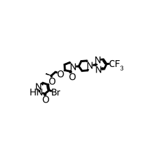 C[C@@H](CO[C@H]1CCN(C2CCN(c3ncc(C(F)(F)F)cn3)CC2)C1=O)Oc1cn[nH]c(=O)c1Br